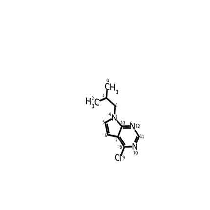 CC(C)Cn1ccc2c(Cl)ncnc21